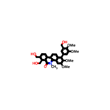 COc1cc(-c2c(OC)c(OC)cc3c2ccc2c4ccc(CO)c(CO)c4c(=O)n(C)c32)cc(CO)c1OC